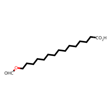 O=COCCCCCCCCCCCCCCC(=O)O